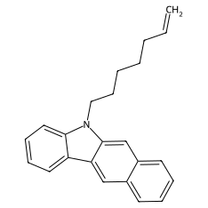 C=CCCCCCn1c2ccccc2c2cc3ccccc3cc21